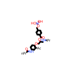 CCCC(=O)Nc1ccc(OCC(CNC(C)C)OC(=O)c2ccc(CON(O)O)cc2)c(C(C)=O)c1